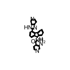 Nc1cnccc1C(=O)NC1c2ccccc2-c2c(-c3nc4ccncc4[nH]3)cccc21